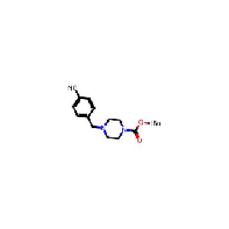 CC(C)(C)OC(=O)N1CCN(Cc2ccc(C#N)cc2)CC1